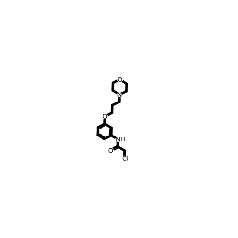 O=C(CCl)Nc1cccc(OCCCN2CCOCC2)c1